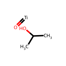 CC(C)O.[O]=[Ti]